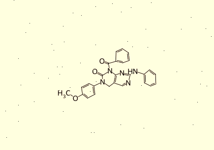 COc1ccc(N2Cc3cnc(Nc4ccccc4)nc3N(C(=O)c3ccccc3)C2=O)cc1